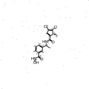 CC(NC(=O)c1cc(Cl)c(Cl)n1C)c1cccc(C(=O)NO)c1